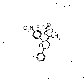 CC(OS(=O)(=O)C(F)(F)F)=C1CCC(c2ccccc2)OC1c1ccc([N+](=O)[O-])cc1